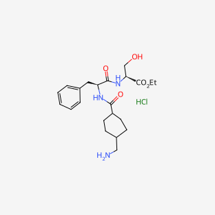 CCOC(=O)[C@H](CO)NC(=O)[C@H](Cc1ccccc1)NC(=O)C1CCC(CN)CC1.Cl